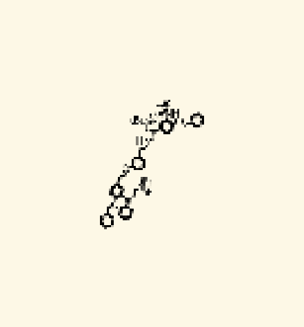 CC(C)N(CC[C@H](c1ccccc1)c1cc(CCOc2cccc(CCNC[C@H](O[Si](C)(C)C(C)(C)C)c3ccc(OCc4ccccc4)c(NS(C)(=O)=O)c3)c2)ccc1OCc1ccccc1)C(C)C